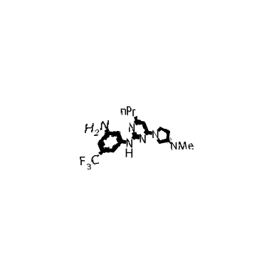 CCCc1cc(N2CC[C@H](NC)C2)nc(Nc2cc(N)cc(C(F)(F)F)c2)n1